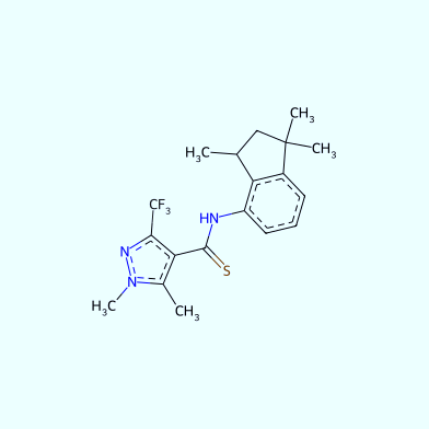 Cc1c(C(=S)Nc2cccc3c2C(C)CC3(C)C)c(C(F)(F)F)nn1C